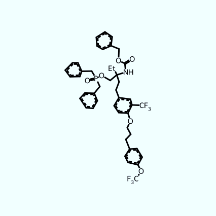 CCC(CCc1ccc(OCCCc2ccc(OC(F)(F)F)cc2)c(C(F)(F)F)c1)(COP(=O)(Cc1ccccc1)Cc1ccccc1)NC(=O)OCc1ccccc1